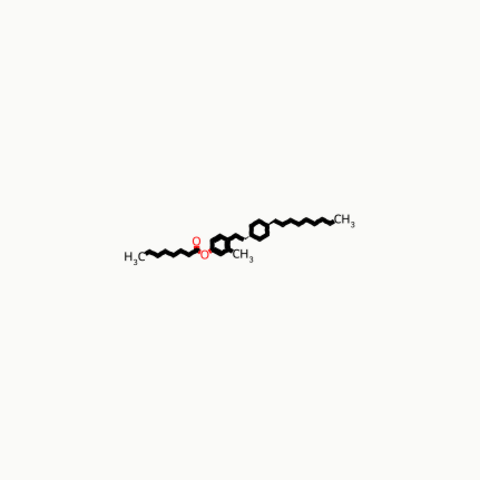 CCCCCCCCC[C@H]1CC[C@H](CCc2ccc(OC(=O)CCCCCCC)cc2C)CC1